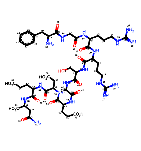 CC(NC(=O)C(CO)NC(=O)C(CCCNC(=N)N)NC(=O)C(CCCNC(=N)N)NC(=O)CNC(=O)C(N)Cc1ccccc1)C(=O)NC(CCC(=O)O)C(=O)NC(CC(=O)O)C(=O)NC(CCC(=O)O)C(=O)NC(CC(N)=O)C(=O)O